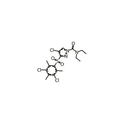 CCN(CC)C(=O)n1cc(Cl)c(S(=O)(=O)c2c(C)c(Cl)c(C)c(Cl)c2C)n1